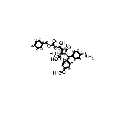 COc1ccc(C(c2ccc(OC)cc2)N2C(=O)[C@H]([C@@H](C)OC(=O)OCc3ccccc3)[C@H]2C(C)(C)O)cc1